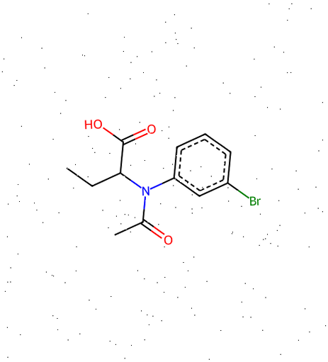 CCC(C(=O)O)N(C(C)=O)c1cccc(Br)c1